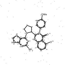 COc1ccc(-n2c(C3CCCN3c3nc(N)nc4[nH]cnc34)nc3cccc(Cl)c3c2=O)cn1